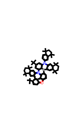 CC(C)(C)c1cc2c3c(c1)-n1c4cc5c(cc4c4c(C(C)(C)C)ccc6oc7ccc(c1c7c64)B3c1cc3c(cc1N2c1ccc2c(c1)C(C)(C)CCC2(C)C)C(C)(C)CCC3(C)C)C(C)(C)CCC5(C)C